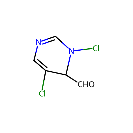 O=CC1C(Cl)=CN=CN1Cl